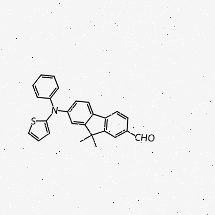 CC1(C)c2cc(C=O)ccc2-c2ccc(N(c3ccccc3)c3cccs3)cc21